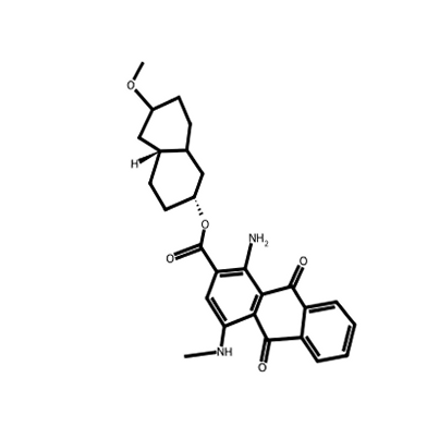 CNc1cc(C(=O)O[C@@H]2CC[C@@H]3CC(OC)CCC3C2)c(N)c2c1C(=O)c1ccccc1C2=O